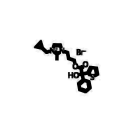 Cc1n(CCCOC(=O)C(O)(c2ccccc2)c2cccs2)cc[n+]1CC1CC1.[Br-]